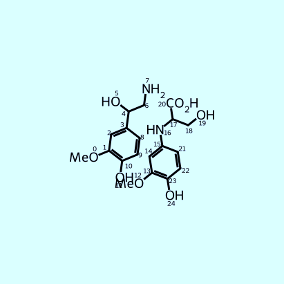 COc1cc(C(O)CN)ccc1O.COc1cc(NC(CO)C(=O)O)ccc1O